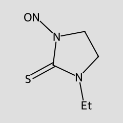 CCN1CCN(N=O)C1=S